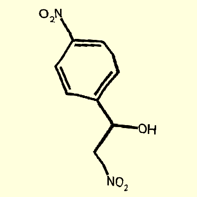 O=[N+]([O-])CC(O)c1ccc([N+](=O)[O-])cc1